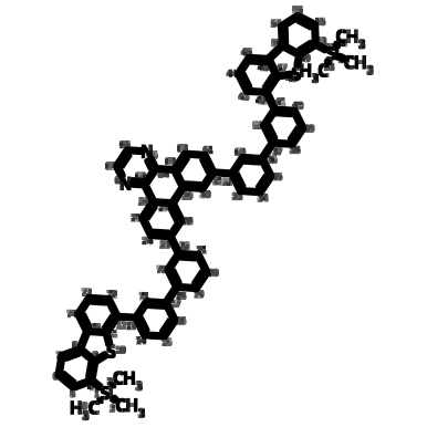 C[Si](C)(C)c1cccc2c1sc1c(-c3cccc(-c4cccc(-c5ccc6c(c5)c5cc(-c7cccc(-c8cccc(-c9cccc%10c9sc9c([Si](C)(C)C)cccc9%10)c8)c7)ccc5c5nccnc65)c4)c3)cccc12